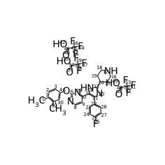 Cc1ccc(Oc2nccc(-c3[nH]c(C4CCNCC4)nc3-c3ccc(F)cc3)n2)cc1C.O=C(O)C(F)(F)F.O=C(O)C(F)(F)F.O=C(O)C(F)(F)F